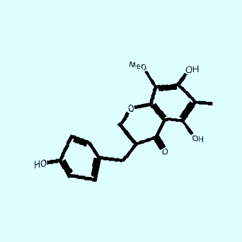 COc1c(O)c(C)c(O)c2c1OCC(Cc1ccc(O)cc1)C2=O